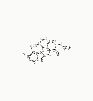 O=C(O)CC1Oc2ccc(Cl)cc2N(Cc2nc3ccc(F)c(F)c3s2)C1=O